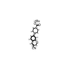 CC(C)(C)OC(=O)N1CCN(c2ccc3c(c2)OCC(C#N)=C3)CC1